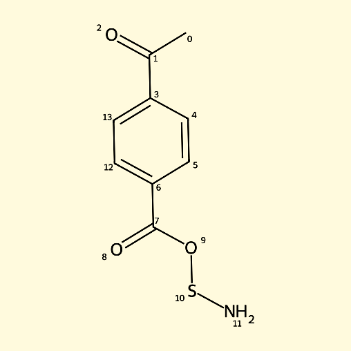 CC(=O)c1ccc(C(=O)OSN)cc1